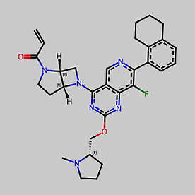 C=CC(=O)N1CC[C@@H]2[C@H]1CN2c1nc(OC[C@@H]2CCCN2C)nc2c(F)c(-c3cccc4c3CCCC4)ncc12